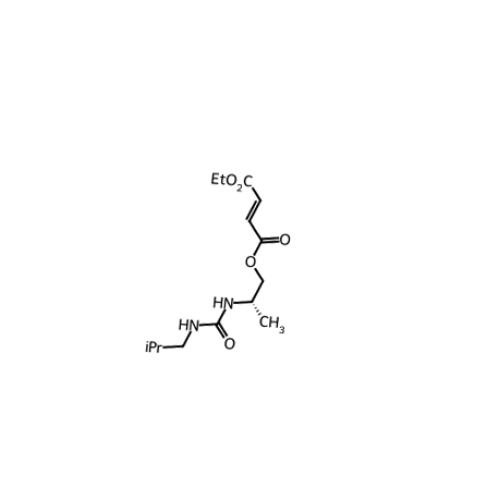 CCOC(=O)/C=C/C(=O)OC[C@H](C)NC(=O)NCC(C)C